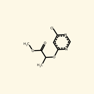 COC(=O)C(C)Oc1cc(Cl)ncn1